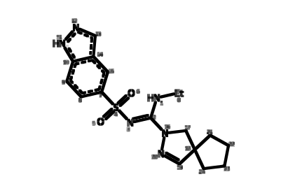 CCN/C(=N\S(=O)(=O)c1ccc2[nH]ncc2c1)N1CC2(C=N1)CCCC2